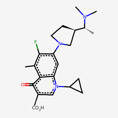 Cc1c(F)c(N2CC[C@@H]([C@@H](C)N(C)C)C2)cc2c1c(=O)c(C(=O)O)cn2C1CC1